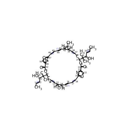 C/C=C/[C@H](O)C(C)(C)[C@@H]1C/C=C\[C@H]2O[C@H]2/C=C/C=C\c2nc(co2)C(=O)O[C@H](C(C)(C)[C@@H](O)/C=C/C)C/C=C\[C@H]2[C@@H](C)[C@H]2/C=C/C=C\c2nc(co2)C(=O)O1